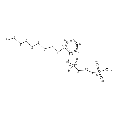 CCCCCCCCCc1ccccc1C[N+](C)(C)CCCS(=O)(=O)[O-]